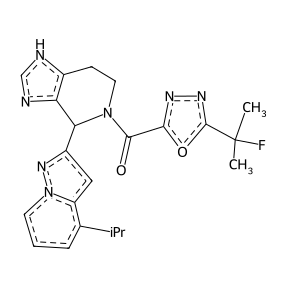 CC(C)c1cccn2nc(C3c4nc[nH]c4CCN3C(=O)c3nnc(C(C)(C)F)o3)cc12